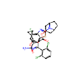 NC(=O)c1cc(F)c2nc(N3C4CCC3CC(OC(=O)c3c(-c5c(Cl)cccc5Cl)noc3C3CC3)C4)sc2c1